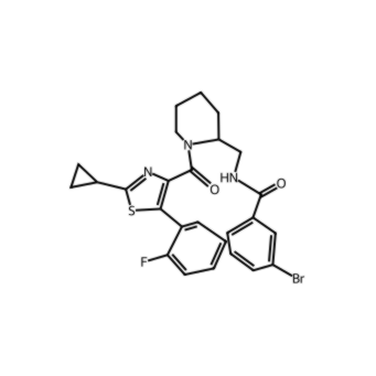 O=C(NCC1CCCCN1C(=O)c1nc(C2CC2)sc1-c1ccccc1F)c1cccc(Br)c1